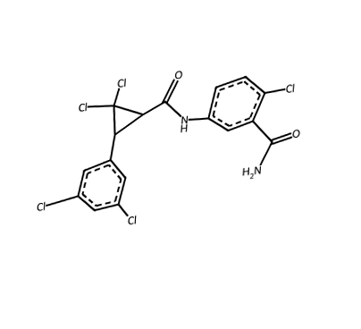 NC(=O)c1cc(NC(=O)C2C(c3cc(Cl)cc(Cl)c3)C2(Cl)Cl)ccc1Cl